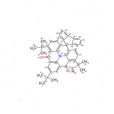 CC(C)(C)c1cc2c(=O)c3c(C(C)(C)C)ccc4c3n3c5c(ccc(C(C)(C)C)c5c(=O)c(c1)c23)C41c2ccccc2-c2ccccc21